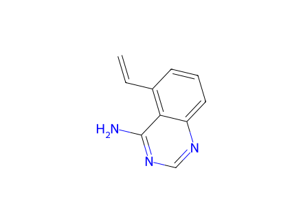 C=Cc1cccc2ncnc(N)c12